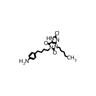 CCCCCn1c(=O)n(CCCCc2ccc(N)cc2)c(=O)c2[nH]c(Cl)nc21